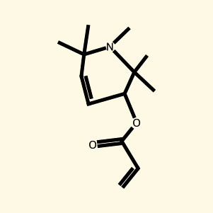 C=CC(=O)OC1C=CC(C)(C)N(C)C1(C)C